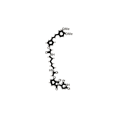 COc1ccc(CCCc2ccc(OCC(=O)NCCCCCCNC(=O)COc3cccc4c3C(=O)N(C3CCC(=O)NC3=O)C4=O)cc2)cc1OC